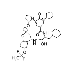 CC(F)(F)Oc1ccc2c(c1)[C@@H](NC[C@@H](O)[C@H](CC1CCCCC1)NC(=O)c1cc(N3CCCC3=O)c(=O)n(C3CCCC3)c1)CC1(CCC1)O2